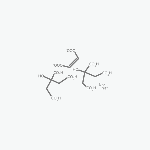 O=C(O)CC(O)(CC(=O)O)C(=O)O.O=C(O)CC(O)(CC(=O)O)C(=O)O.O=C([O-])/C=C\C(=O)[O-].[Na+].[Na+]